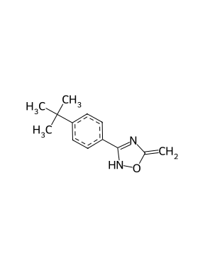 C=C1N=C(c2ccc(C(C)(C)C)cc2)NO1